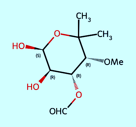 CO[C@@H]1[C@H](OC=O)[C@@H](O)[C@@H](O)OC1(C)C